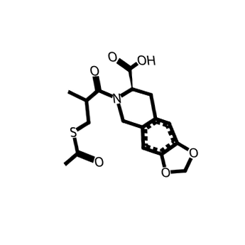 CC(=O)SCC(C)C(=O)N1Cc2cc3c(cc2C[C@@H]1C(=O)O)OCO3